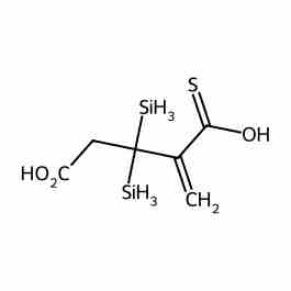 C=C(C(O)=S)C([SiH3])([SiH3])CC(=O)O